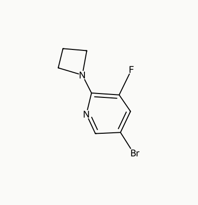 Fc1cc(Br)cnc1N1CCC1